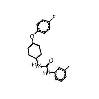 Cc1cccc(NC(=O)NC2CCC(Oc3ccc(F)cc3)CC2)c1